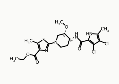 CCOC(=O)c1nc(N2CC[C@@H](NC(=O)c3[nH]c(C)c(Cl)c3Cl)[C@@H](OC)C2)sc1C